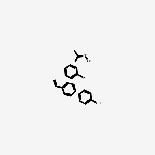 C=Cc1ccccc1.CC(C)=[O+][O-].CC(C)c1ccccc1.Oc1ccccc1